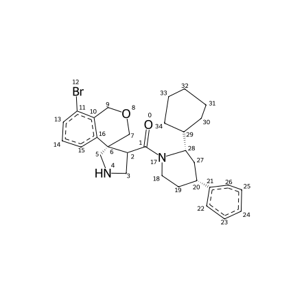 O=C(C1CNC[C@]12COCc1c(Br)cccc12)N1CC[C@@H](c2ccccc2)C[C@H]1C1CCCCC1